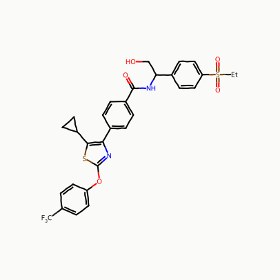 CCS(=O)(=O)c1ccc(C(CO)NC(=O)c2ccc(-c3nc(Oc4ccc(C(F)(F)F)cc4)sc3C3CC3)cc2)cc1